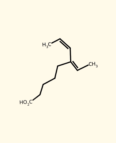 C/C=C\C(=C/C)CCCCC(=O)O